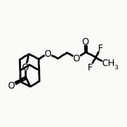 CC(F)(F)C(=O)OCCOC1C2CC3CC(C2)C(=O)OC1C3